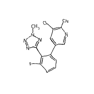 Cn1nnc(-c2c(F)cccc2-c2cnc(C#N)c(Cl)c2)n1